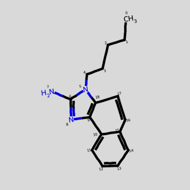 CCCCCn1c(N)nc2c3ccccc3ccc21